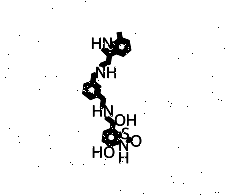 Cc1cccc2c(CCNCc3cccc(CCNCC(O)c4ccc(O)c5[nH]c(=O)sc45)c3)c[nH]c12